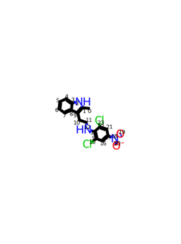 Cc1[nH]c2ccccc2c1CCNc1c(Cl)cc([N+](=O)[O-])cc1Cl